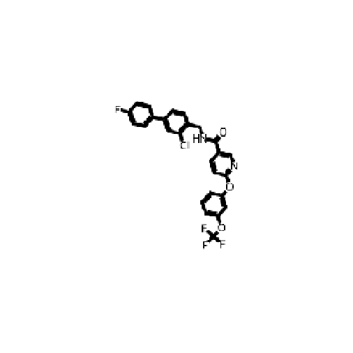 O=C(NCc1ccc(-c2ccc(F)cc2)cc1Cl)c1ccc(Oc2cccc(OC(F)(F)F)c2)nc1